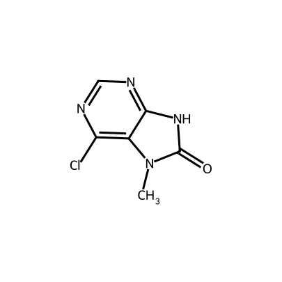 Cn1c(=O)[nH]c2ncnc(Cl)c21